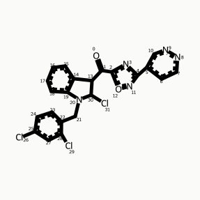 O=C(c1nc(-c2ccnnc2)no1)C1c2ccccc2N(Cc2ccc(Cl)cc2Cl)C1Cl